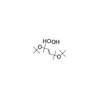 CC(C)(C)OC(C)(C)C=CC(C)(C)OC(C)(C)C.OO